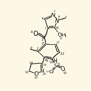 Cc1c(C(=O)c2cnn(C)c2O)ccc([SH](=O)=O)c1C1=NOCC1